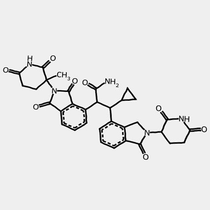 CC1(N2C(=O)c3cccc(C(C(N)=O)C(c4cccc5c4CN(C4CCC(=O)NC4=O)C5=O)C4CC4)c3C2=O)CCC(=O)NC1=O